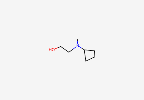 CN(CCO)C1CCC1